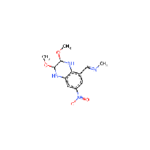 CN=Cc1cc([N+](=O)[O-])cc2c1NC(OC)C(OC)N2